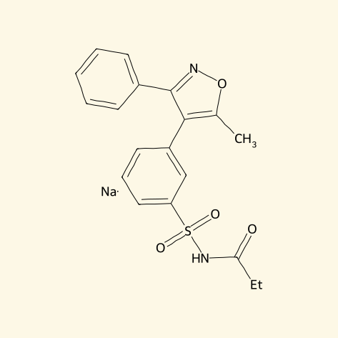 CCC(=O)NS(=O)(=O)c1cccc(-c2c(-c3ccccc3)noc2C)c1.[Na]